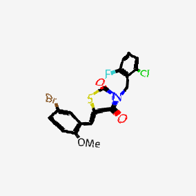 COc1ccc(Br)cc1C=C1SC(=O)N(Cc2c(F)cccc2Cl)C1=O